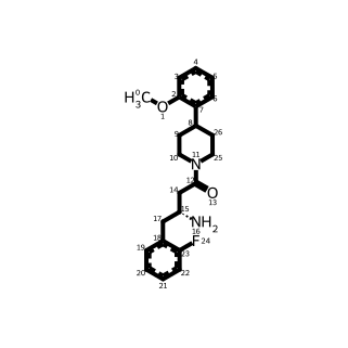 COc1ccccc1C1CCN(C(=O)C[C@H](N)Cc2ccccc2F)CC1